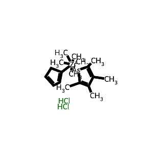 CC1=C(C)[As]([Zr]([CH3])([CH3])([CH3])([CH3])([CH3])[C]2=CC=CC2)C(C)=C1C.Cl.Cl